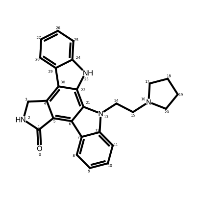 O=C1NCc2c1c1c3ccccc3n(CCN3CCCC3)c1c1[nH]c3ccccc3c21